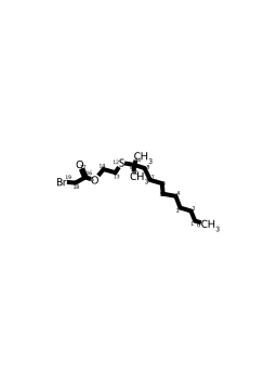 CCCCCCCCCC(C)(C)SCCOC(=O)CBr